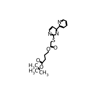 CC(C)(C)OC(=O)CCCOC(=O)CSc1nccc(-c2ccccn2)n1